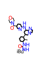 CCC(C)NC(=O)Nc1cccc(-c2cc(Nc3ccc(C(=O)N4CCOCC4)cn3)c3nccn3c2)c1C